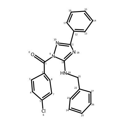 O=C(c1ccc(Cl)cc1)n1nc(-c2ccccc2)nc1NCc1ccccc1